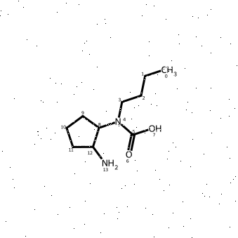 CCCCN(C(=O)O)C1CCCC1N